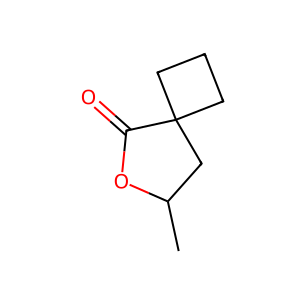 CC1CC2(CCC2)C(=O)O1